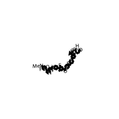 CNc1cc(=O)n(-c2ccnc3c2cc([C@H](C)N2CC=C(c4c(C)cc(C(=O)N5CCC(F)(CC6CCN(c7ccc8c(c7)C7(CC7)C(=O)N8C7CCC(=O)NC7=O)CC6)CC5)cc4F)CC2)n3C)cc1F